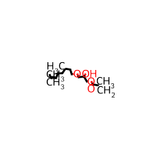 C=C(C)C(=O)OCC(O)COCCC(C)CCC=C(C)C